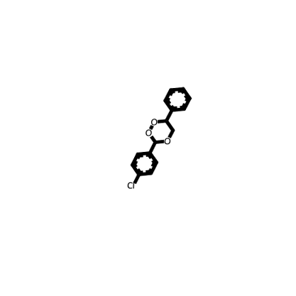 Clc1ccc(C2OCC(c3ccccc3)OO2)cc1